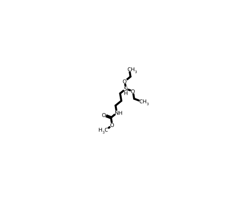 CCO[SiH](CCCNC(=O)OC)OCC